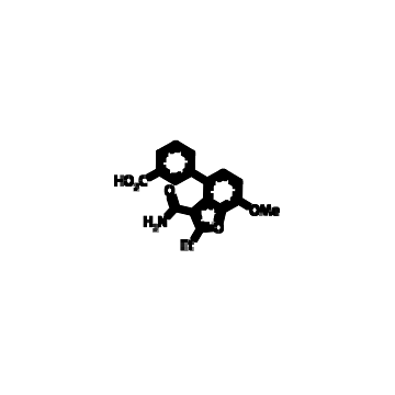 CCc1oc2c(OC)ccc(-c3cccc(C(=O)O)c3)c2c1C(N)=O